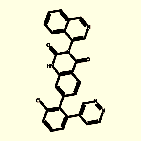 O=c1[nH]c2cc(-c3c(Cl)cccc3-c3ccnnc3)ccc2c(=O)n1-c1cncc2ccccc12